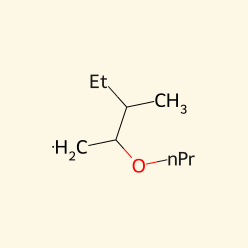 [CH2]C(OCCC)C(C)CC